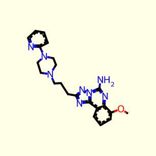 COc1cccc2c1nc(N)n1nc(CCCN3CCN(c4ccccn4)CC3)nc21